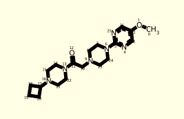 COc1cnc(N2CCN(CC(=O)N3CCN(C4CCC4)CC3)CC2)nc1